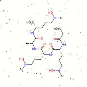 CCCCCCCCCCCC(=O)N[C@H](CCCN(O)C(C)=O)C(=O)N[C@H](CCCN(O)C(C)=O)C(=O)N[C@@H](C)C(=O)N[C@@H](CCCN(O)C(C)=O)C(=O)O